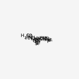 C=CC(=O)Nc1cccc(Oc2nc(Nc3ccc(N4CCN(CC(F)F)CC4)cc3)nc3ccsc23)c1